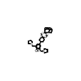 Oc1c(CN2CCCC2)cc(C2CCC3(CC2)OOC2(OO3)C3CC4CC(C3)CC2C4)cc1CN1CCCC1